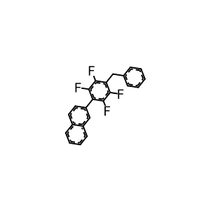 Fc1c(F)c(-c2ccc3ccccc3c2)c(F)c(F)c1Cc1ccccc1